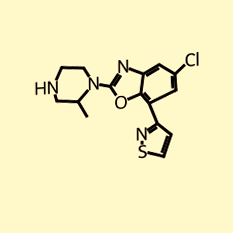 CC1CNCCN1c1nc2cc(Cl)cc(-c3ccsn3)c2o1